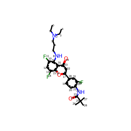 CCN(CC)CCCNc1c(F)cc(F)c2oc(-c3ccc(NC(=O)C(C)(C)C)c(F)c3)cc(=O)c12